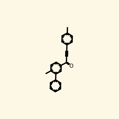 Cc1ccc(C#CC(=O)c2ccc(C)c(-c3ccccc3)c2)cc1